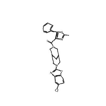 Cc1nc(C(=O)N2CC3CC(C2)CN(c2nc4cc(Cl)ccc4o2)C3)c(-c2ccccc2)s1